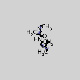 C=C/C(=C\N=C/C)C(=O)NC(=C)/C=C\C(=C/C)C1CC1